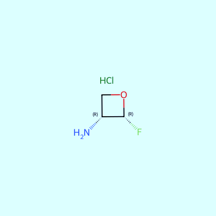 Cl.N[C@@H]1CO[C@@H]1F